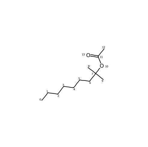 CCCCCCCC(C)(C)OC(C)=O